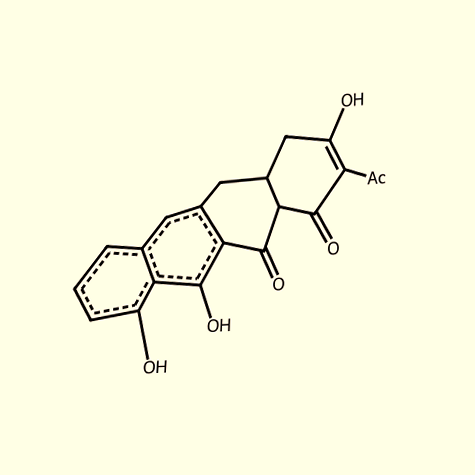 CC(=O)C1=C(O)CC2Cc3cc4cccc(O)c4c(O)c3C(=O)C2C1=O